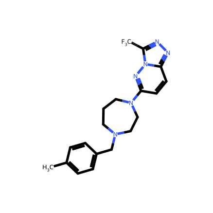 Cc1ccc(CN2CCCN(c3ccc4nnc(C(F)(F)F)n4n3)CC2)cc1